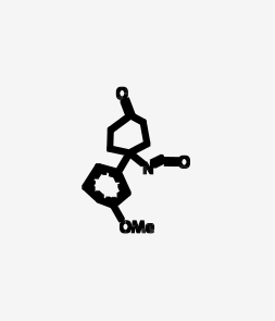 COc1cccc(C2(N=C=O)CCC(=O)CC2)c1